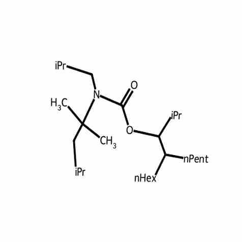 CCCCCCC(CCCCC)C(OC(=O)N(CC(C)C)C(C)(C)CC(C)C)C(C)C